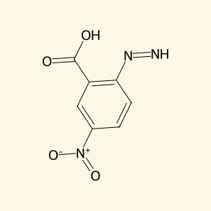 N=Nc1ccc([N+](=O)[O-])cc1C(=O)O